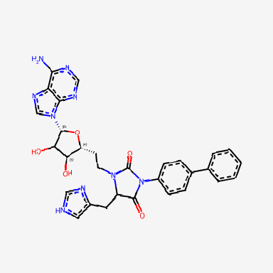 Nc1ncnc2c1ncn2[C@@H]1O[C@H](CCN2C(=O)N(c3ccc(-c4ccccc4)cc3)C(=O)C2Cc2c[nH]cn2)[C@@H](O)C1O